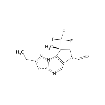 CCc1cc2ncc3c(n2n1)[C@](C)(C(F)(F)F)CN3C=O